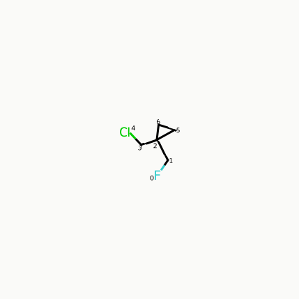 FCC1(CCl)CC1